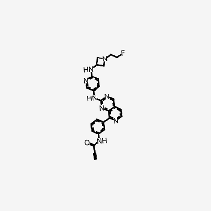 C#CC(=O)Nc1cccc(-c2nccc3cnc(Nc4ccc(NC5CN(CCF)C5)nc4)nc23)c1